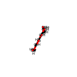 COC[C@H]1O[C@@H](n2cc(/C=C/CNC(=O)CCCCCNC(=O)CCCCCNC(=O)CCCC[C@H]3SC[C@H]4NC(=O)NC43)c(=O)[nH]c2=O)C(O)C1O